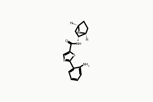 Nc1ccccc1-c1ncc(C(=O)N[C@@H]2C[C@H]3CC[C@@H]2N3)s1